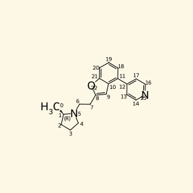 C[C@@H]1CCCN1CCc1cc2c(-c3ccncc3)cccc2o1